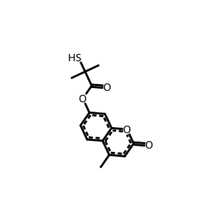 Cc1cc(=O)oc2cc(OC(=O)C(C)(C)S)ccc12